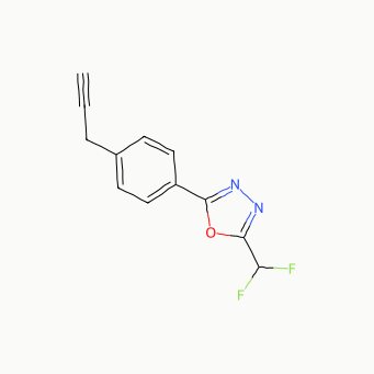 C#CCc1ccc(-c2nnc(C(F)F)o2)cc1